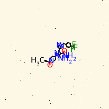 CC#CC(=O)N1CCC(n2nc(-c3cnn(Cc4ccc(C(F)(F)F)cc4)c3)c(C(N)=O)c2N)CC1